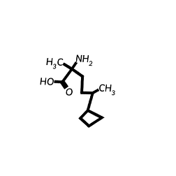 CC(CCC(C)(N)C(=O)O)C1CCC1